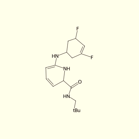 CC(C)(C)CNC(=O)C1C=CC=C(NC2CC(F)=CC(F)C2)N1